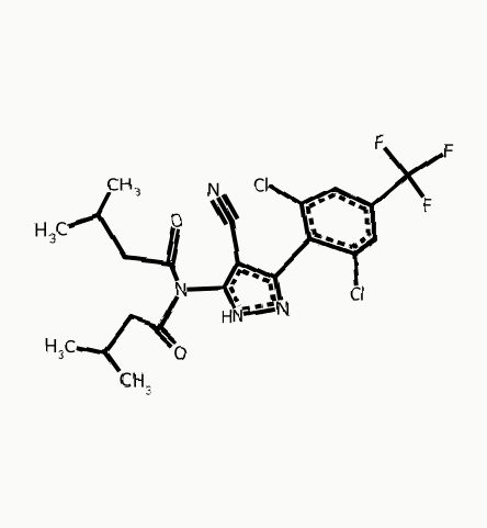 CC(C)CC(=O)N(C(=O)CC(C)C)c1[nH]nc(-c2c(Cl)cc(C(F)(F)F)cc2Cl)c1C#N